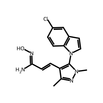 Cc1nn(C)c(-n2ccc3cc(Cl)ccc32)c1C=CC(N)=NO